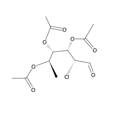 CC(=O)O[C@H]([C@H](OC(C)=O)[C@@H](Cl)C=O)[C@@H](C)OC(C)=O